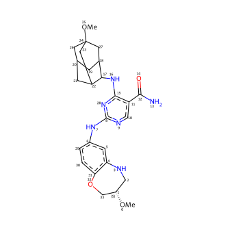 CO[C@H]1CNc2cc(Nc3ncc(C(N)=O)c(NC4C5CC6CC4CC(OC)(C6)C5)n3)ccc2OC1